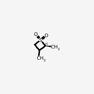 CC1CS(=O)(=O)[C@H]1C